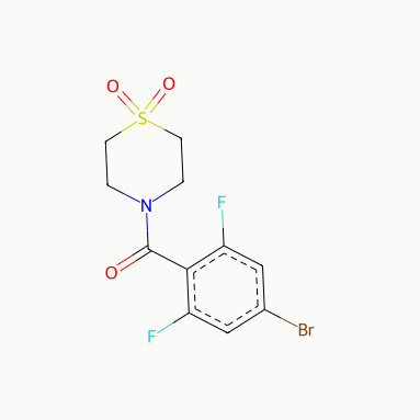 O=C(c1c(F)cc(Br)cc1F)N1CCS(=O)(=O)CC1